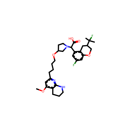 COc1cc(CCCCOC2CCN(C(C(=O)O)c3cc(F)cc4c3CC(C(C)(C)F)CO4)C2)nc2c1CCCN2